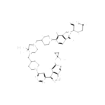 CC1(Oc2cc3c(-c4cc(N5CCC(CN6CCN(CC7CCN(c8ccc9c(c8F)CN(C8CCC(=O)NC8=O)C9=O)CC7)CC6(C)C)CC5)ncn4)n[nH]c3cn2)CC1